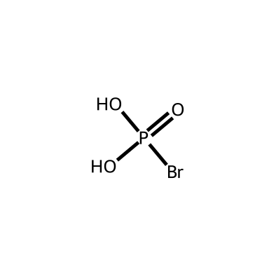 O=P(O)(O)Br